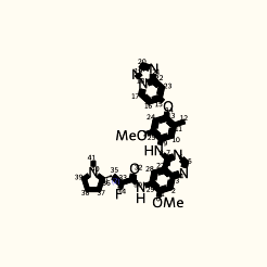 COc1cc2ncnc(Nc3cc(C)c(Oc4ccn5ncnc5c4)cc3OC)c2cc1NC(=O)/C(F)=C/[C@@H]1CCCN1C